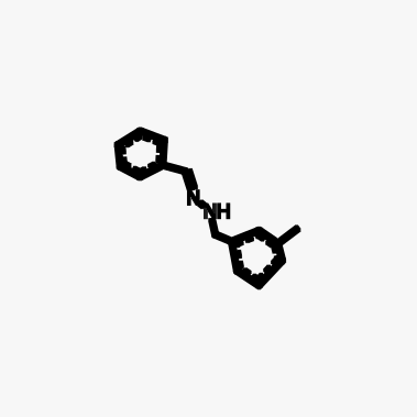 Cc1cccc(CNN=Cc2ccccc2)c1